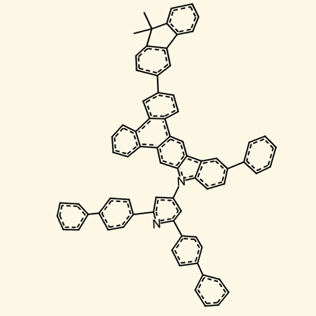 CC1(C)c2ccccc2-c2cc(-c3ccc4c(c3)c3ccccc3c3cc5c(cc43)c3cc(-c4ccccc4)ccc3n5-c3cc(-c4ccc(-c5ccccc5)cc4)nc(-c4ccc(-c5ccccc5)cc4)c3)ccc21